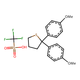 COc1ccc(C2(c3ccc(OC)cc3)CCCS2)cc1.O=S(=O)(O)C(F)(F)F